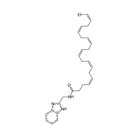 CC/C=C\C/C=C\C/C=C\C/C=C\C/C=C\C/C=C\CCC(=O)NCc1nc2ccccc2[nH]1